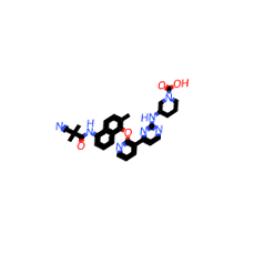 Cc1ccc2c(NC(=O)C(C)(C)C#N)cccc2c1Oc1ncccc1-c1ccnc(NC2CCCN(C(=O)O)C2)n1